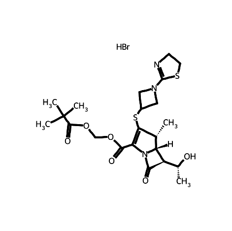 Br.C[C@@H](O)[C@H]1C(=O)N2C(C(=O)OCOC(=O)C(C)(C)C)=C(SC3CN(C4=NCCS4)C3)[C@H](C)[C@H]12